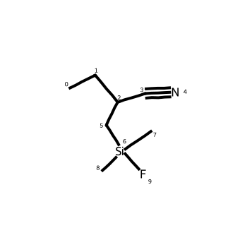 CCC(C#N)C[Si](C)(C)F